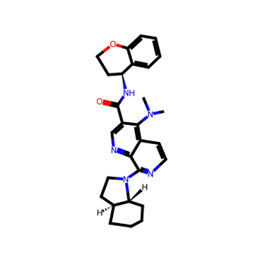 CN(C)c1c(C(=O)N[C@H]2CCOc3ccccc32)cnc2c(N3CC[C@@H]4CCCC[C@H]43)nccc12